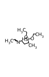 CC=NCCC(C)[SiH](OCC)OCC